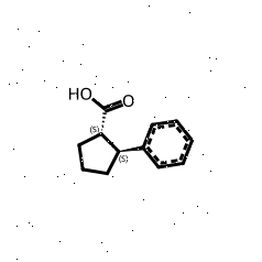 O=C(O)[C@H]1CCC[C@@H]1c1ccccc1